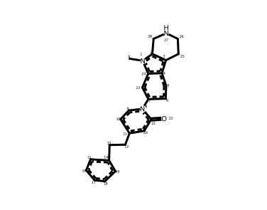 Cn1c2c(c3ccc(-n4ccc(CCc5ccccc5)cc4=O)cc31)CCNC2